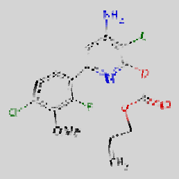 C=CCOC(=O)Oc1nc(-c2ccc(Cl)c(OC)c2F)cc(N)c1Cl